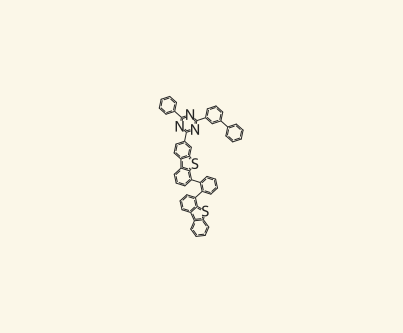 c1ccc(-c2cccc(-c3nc(-c4ccccc4)nc(-c4ccc5c(c4)sc4c(-c6ccccc6-c6cccc7c6sc6ccccc67)cccc45)n3)c2)cc1